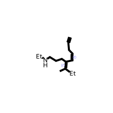 C#CC/C=C\C(CCCNCC)=C(\C)CC